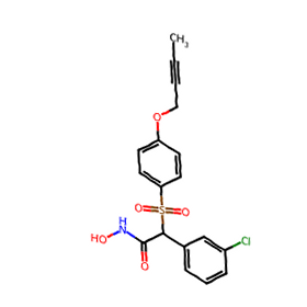 CC#CCOc1ccc(S(=O)(=O)C(C(=O)NO)c2cccc(Cl)c2)cc1